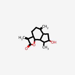 C=C1C(=O)OC2C1CCC(=C)C1CC(O)C(C)C12